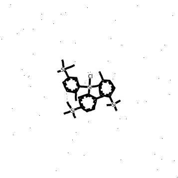 Cc1ccc([Si](C)(C)C)cc1[Si](Cl)(c1cc([Si](C)(C)C)ccc1C)c1cc([Si](C)(C)C)ccc1C